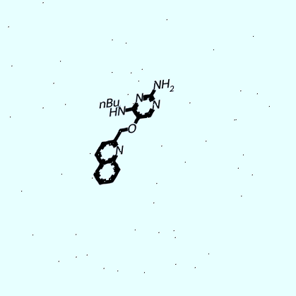 CCCCNc1nc(N)ncc1OCc1ccc2ccccc2n1